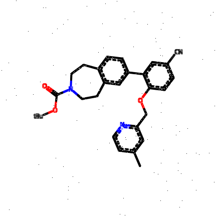 Cc1ccnc(COc2ccc(C#N)cc2-c2ccc3c(c2)CCN(C(=O)OC(C)(C)C)CC3)c1